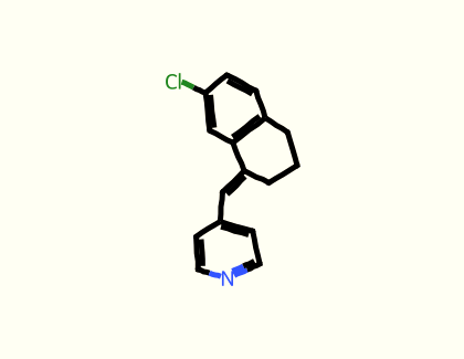 Clc1ccc2c(c1)/C(=C/c1ccncc1)CCC2